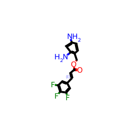 Nc1ccc(COC(=O)/C=C/c2cc(F)c(F)c(F)c2)c(N)c1